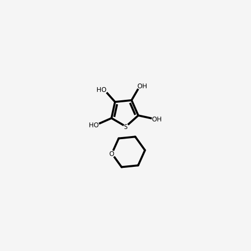 C1CCOCC1.Oc1sc(O)c(O)c1O